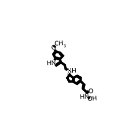 COc1ccc2c(CCN[C@@H]3CCc4cc(C=CC(=O)NO)ccc43)c[nH]c2c1